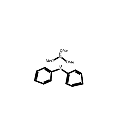 CO[SiH](OC)OC.c1ccc(Pc2ccccc2)cc1